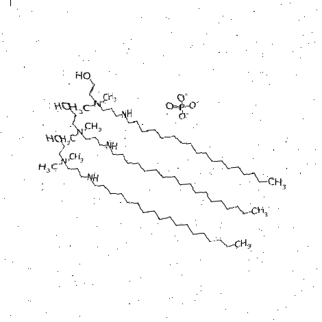 CCCCCCCCCCCCCCCCCCNCCC[N+](C)(C)CCO.CCCCCCCCCCCCCCCCCCNCCC[N+](C)(C)CCO.CCCCCCCCCCCCCCCCCCNCCC[N+](C)(C)CCO.O=P([O-])([O-])[O-]